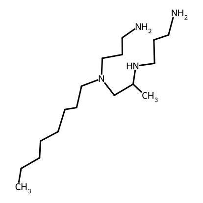 CCCCCCCCN(CCCN)CC(C)NCCCN